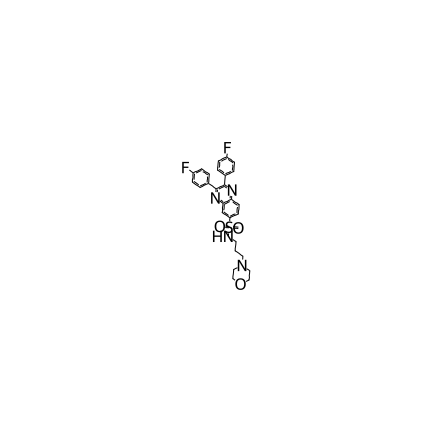 O=S(=O)(NCCCN1CCOCC1)c1ccc2nc(-c3ccc(F)cc3)c(-c3ccc(F)cc3)nc2c1